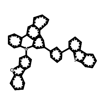 c1cc(-c2cccc(N(c3ccc4c(c3)oc3ccccc34)c3ccccc3-c3ccc4ccccc4c3)c2)cc(-c2cccc3c2sc2ccccc23)c1